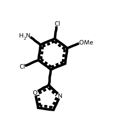 COc1cc(-c2ncco2)c(Cl)c(N)c1Cl